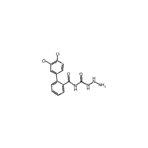 NNNC(=O)NC(=O)c1ccccc1-c1ccc(Cl)c(Cl)c1